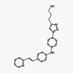 OCCCc1cn(-c2ccc(Nc3ccc(C=Cc4ccccn4)cc3)cc2)nn1